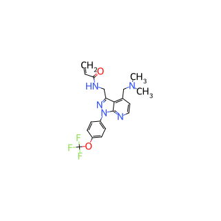 C=CC(=O)NCc1nn(-c2ccc(OC(F)(F)F)cc2)c2nccc(CN(C)C)c12